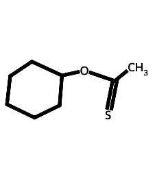 CC(=S)OC1CCCCC1